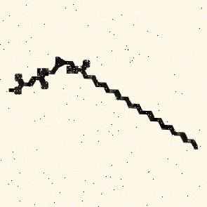 CCC=CCC=CCC=CCC=CCC=CCC=CCCC(=O)NCC1CC1CNC(=O)C=CC(=O)OC